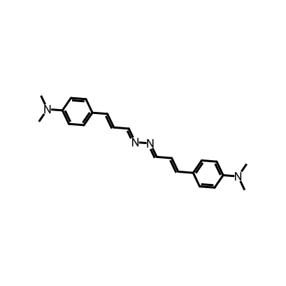 CN(C)c1ccc(C=CC=NN=CC=Cc2ccc(N(C)C)cc2)cc1